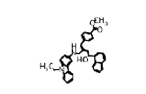 CCn1c2ccccc2c2cc(NCC(=Cc3ccc(C(=O)OC)cc3)CC(O)c3cccc4ccccc34)ccc21